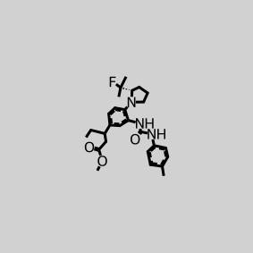 CCC(CC(=O)OC)c1ccc(N2CCC[C@H]2C(C)(C)F)c(NC(=O)Nc2ccc(C)cc2)c1